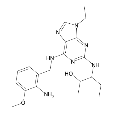 CCC(Nc1nc(NCc2cccc(OC)c2N)c2ncn(CC)c2n1)C(C)O